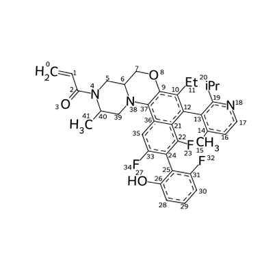 C=CC(=O)N1CC2COc3c(CC)c(-c4c(C)ccnc4C(C)C)c4c(F)c(-c5c(O)cccc5F)c(F)cc4c3N2CC1C